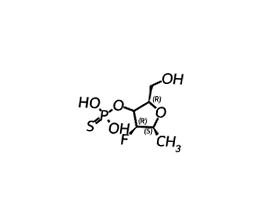 C[C@@H]1O[C@H](CO)C(OP(O)(O)=S)[C@@H]1F